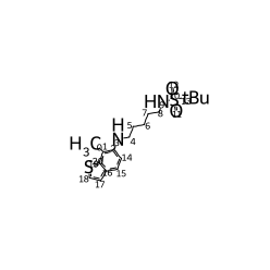 Cc1c(NCCCCCNS(=O)(=O)C(C)(C)C)ccc2ccsc12